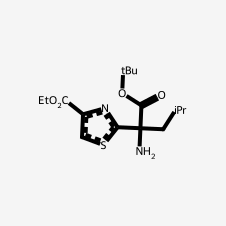 CCOC(=O)c1csc(C(N)(CC(C)C)C(=O)OC(C)(C)C)n1